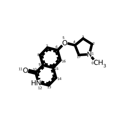 CN1CCC(Oc2ccc3c(=O)[nH]ccc3c2)C1